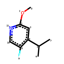 COc1cc(C(C)C)c(F)cn1